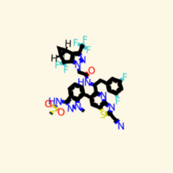 Cn1nc(NS(C)(=O)=O)c2cccc(-c3cc4sc(C#N)nc4nc3C(Cc3cc(F)cc(F)c3)NC(=O)Cn3nc(C(F)(F)F)c4c3C(F)(F)[C@@H]3C[C@H]43)c21